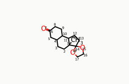 C[C@@]12CCC3CC(=O)CCC3C1CCC21OCCO1